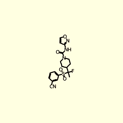 CC(F)(C1CCN(C(=O)Nc2ccon2)CC1)S(=O)(=O)c1cccc(C#N)c1